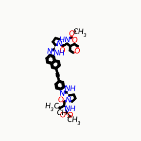 COC(=O)N[C@H](C(=O)N1CCC[C@H]1c1nc2ccc(C#Cc3ccc4c(ccc5nc([C@@H]6CCCN6C(=O)[C@@H](NC(=O)OC)C6CCOCC6)[nH]c54)c3)cc2[nH]1)C(C)C